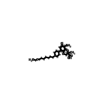 CCCCCCCCCCN1CCC(c2cc(Cl)c(N)c3c2OCC(C)(C(=O)O)O3)CC1